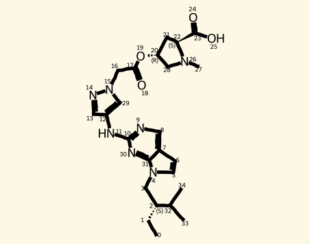 CC[C@H](Cn1ccc2cnc(Nc3cnn(CC(=O)O[C@@H]4C[C@@H](C(=O)O)N(C)C4)c3)nc21)C(C)C